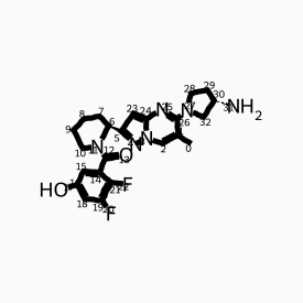 Cc1cn2nc([C@@H]3CCCCN3C(=O)c3cc(O)cc(F)c3F)cc2nc1N1CC[C@H](N)C1